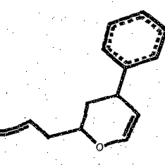 C=CCC1CC(c2ccccc2)C=CO1